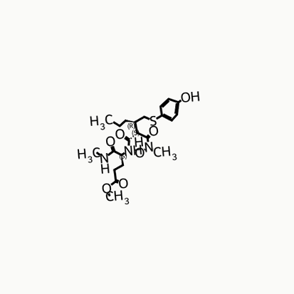 CCC[C@@H](CSc1ccc(O)cc1)[C@@H](C(=O)N[C@@H](CCC(=O)OC)C(=O)NC)C(=O)N(C)O